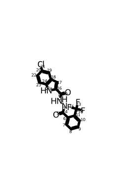 O=C(NNC(=O)c1ccccc1C(F)(F)F)c1cc2cc(Cl)ccc2[nH]1